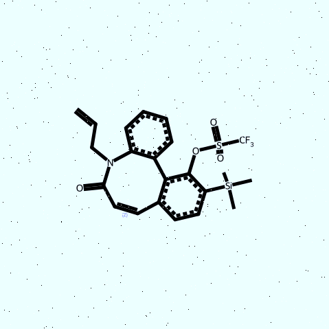 C=CCN1C(=O)/C=C\c2ccc([Si](C)(C)C)c(OS(=O)(=O)C(F)(F)F)c2-c2ccccc21